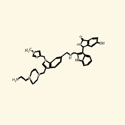 Cn1cnc(Cn2cc(CN3CCN(CCN)CC3)c3ccc(CNCc4[nH]c5ccccc5c4C4NC(=O)c5ccc(O)cc54)cc32)c1